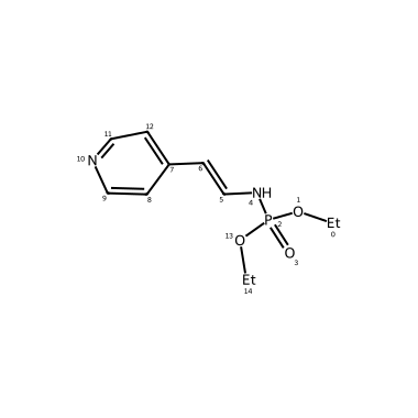 CCOP(=O)(NC=Cc1ccncc1)OCC